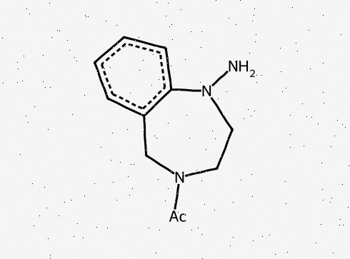 CC(=O)N1CCN(N)c2ccccc2C1